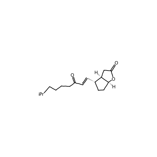 CC(C)CCCCC(=O)/C=C/[C@H]1CC[C@@H]2OC(=O)C[C@@H]21